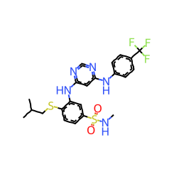 CNS(=O)(=O)c1ccc(SCC(C)C)c(Nc2cc(Nc3ccc(C(F)(F)F)cc3)ncn2)c1